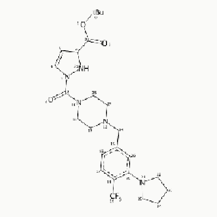 CC(C)(C)OC(=O)C1C=CN(C(=O)N2CCN(Cc3ccc(C(F)(F)F)c(N4CCCC4)c3)CC2)N1